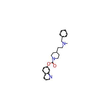 CN(CCC1CCN(C(=O)Oc2ccc3cccnc3c2)CC1)Cc1ccccc1